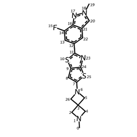 CN1CC2(C1)CN(c1cc3sc(-c4cc(F)c5nn(C)cc5c4)nc3s1)C2